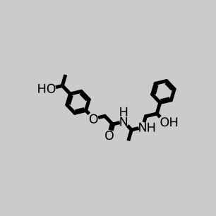 CC(NCC(O)c1ccccc1)NC(=O)COc1ccc(C(C)O)cc1